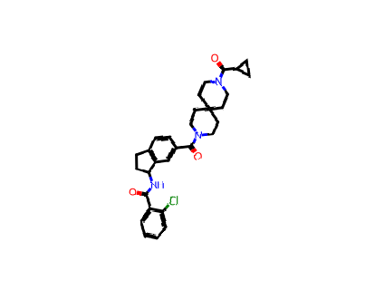 O=C(NC1CCc2ccc(C(=O)N3CCC4(CC3)CCN(C(=O)C3CC3)CC4)cc21)c1ccccc1Cl